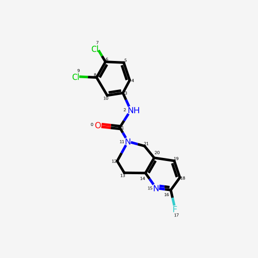 O=C(Nc1ccc(Cl)c(Cl)c1)N1CCc2nc(F)ccc2C1